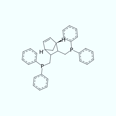 C1=C[C@H]2C[C@H]1C(CP(c1ccccc1)c1ccccc1)C2CP(c1ccccc1)c1ccccc1